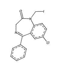 O=C1CN=C(c2ccccc2)c2cc(Cl)ccc2N1CI